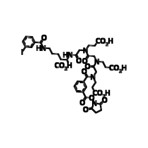 O=C(O)CCN(CC(=O)N[C@H](CCCCNC(=O)c1cccc(I)c1)C(=O)O)C(=O)CN(CCC(=O)O)C(=O)CN(CCC(=O)O)C(=O)c1cccc(C(=O)ON2C(=O)CCC2=O)c1